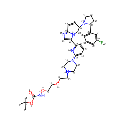 CC(C)(C)OC(=O)NOCCOCCN1CCN(c2cccc(-c3cnc4n3CC(N3CCCC3c3cccc(F)c3)C=C4)n2)CC1